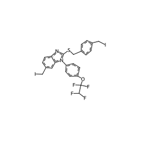 FC(F)C(F)(F)Oc1ccc(-n2c(SCc3ccc(CI)cc3)nc3ccc(CI)cc32)cc1